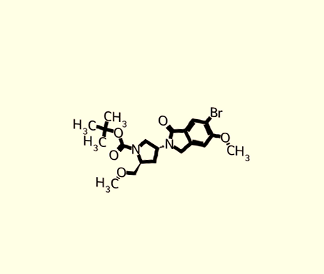 COC[C@@H]1C[C@@H](N2Cc3cc(OC)c(Br)cc3C2=O)CN1C(=O)OC(C)(C)C